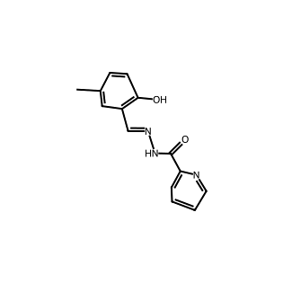 Cc1ccc(O)c(/C=N/NC(=O)c2ccccn2)c1